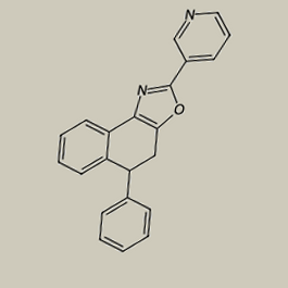 c1ccc(C2Cc3oc(-c4cccnc4)nc3-c3ccccc32)cc1